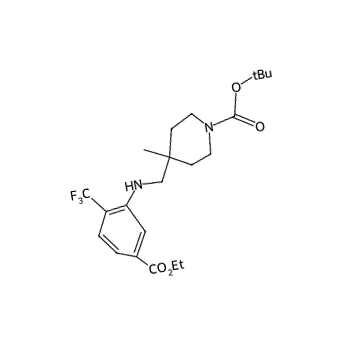 CCOC(=O)c1ccc(C(F)(F)F)c(NCC2(C)CCN(C(=O)OC(C)(C)C)CC2)c1